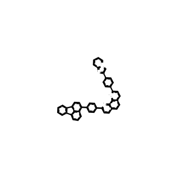 c1ccc2c(c1)-c1cccc3c(-c4ccc(-c5ccc6ccc7ccc(-c8ccc(-c9cn%10ccccc%10n9)cc8)nc7c6n5)cc4)ccc-2c13